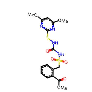 COC(=O)c1ccccc1CS(=O)(=O)NC(=O)NSc1nc(OC)cc(OC)n1